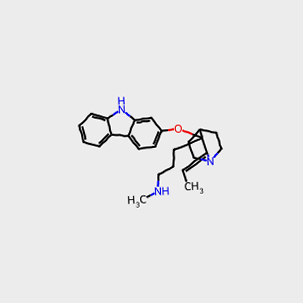 CC=C1N2CCC(CC2)C1(CCCNC)Oc1ccc2c(c1)[nH]c1ccccc12